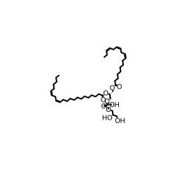 CC/C=C\C/C=C\C/C=C\CCCCCCCC(=O)OC[C@H](COP(=O)(O)OC[C@@H](O)CO)OC(=O)CCCCCCCCCCC/C=C\C/C=C\CCCCC